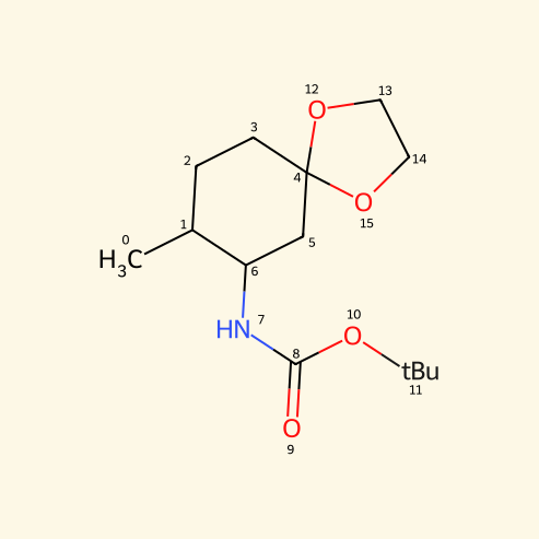 CC1CCC2(CC1NC(=O)OC(C)(C)C)OCCO2